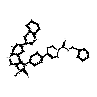 Cn1c(=O)n(-c2ccc(C3=CCN(C(=O)OCc4ccccc4)CC3)cc2)c2c3cc(-c4cnc5ccccc5c4)ccc3ncc21